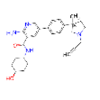 C#CCN1CC[C@](C)(c2ccc(-c3cnc(N)c(C(=O)N[C@H]4CC[C@H](O)CC4)c3)cc2)C1